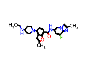 CCNC1CCN(c2ccc(C(=O)Nc3cc(F)c4nc(C)cn4c3)c3oc(C)cc23)CC1